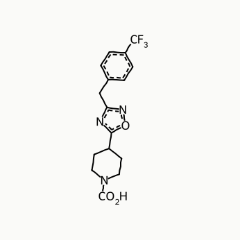 O=C(O)N1CCC(c2nc(Cc3ccc(C(F)(F)F)cc3)no2)CC1